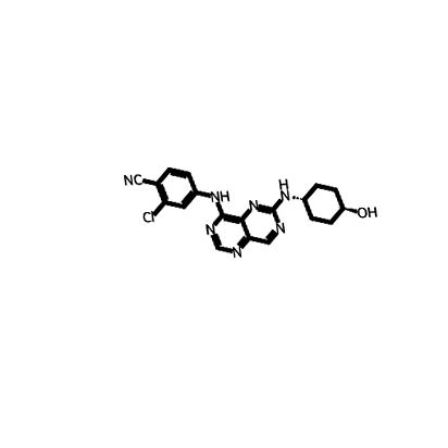 N#Cc1ccc(Nc2ncnc3cnc(N[C@H]4CC[C@H](O)CC4)nc23)cc1Cl